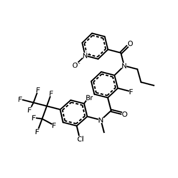 CCCN(C(=O)c1ccc[n+]([O-])c1)c1cccc(C(=O)N(C)c2c(Cl)cc(C(F)(C(F)(F)F)C(F)(F)F)cc2Br)c1F